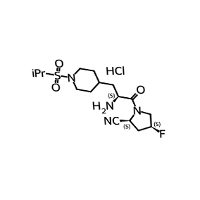 CC(C)S(=O)(=O)N1CCC(C[C@H](N)C(=O)N2C[C@@H](F)C[C@H]2C#N)CC1.Cl